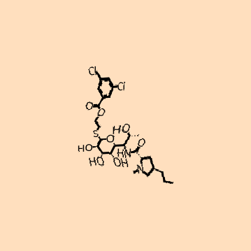 CCC[C@@H]1C[C@@H](C(=O)N[C@@H]([C@H]2O[C@H](SCCOC(=O)c3cc(Cl)cc(Cl)c3)[C@H](O)[C@@H](O)[C@H]2O)[C@@H](C)O)N(C)C1